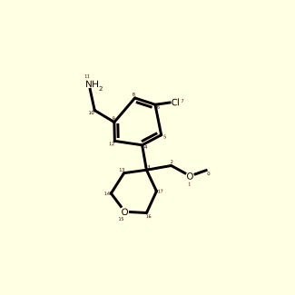 COCC1(c2cc(Cl)cc(CN)c2)CCOCC1